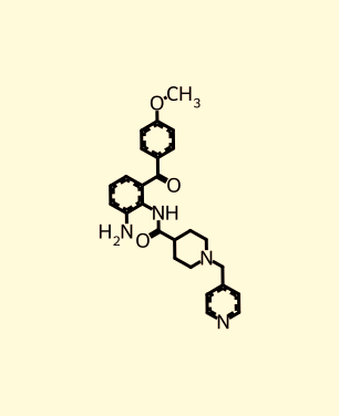 COc1ccc(C(=O)c2cccc(N)c2NC(=O)C2CCN(Cc3ccncc3)CC2)cc1